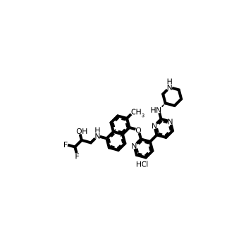 Cc1ccc2c(NCC(O)C(F)F)cccc2c1Oc1ncccc1-c1ccnc(N[C@H]2CCCNC2)n1.Cl